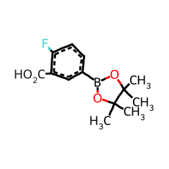 CC1(C)OB(c2ccc(F)c(C(=O)O)c2)OC1(C)C